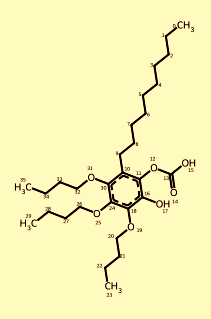 CCCCCCCCCCc1c(OC(=O)O)c(O)c(OCCCC)c(OCCCC)c1OCCCC